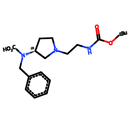 CC(C)(C)OC(=O)NCCN1CC[C@@H](N(Cc2ccccc2)C(=O)O)C1